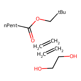 C=C.C=C.CCCCCC(=O)OCC(C)(C)C.OCCO